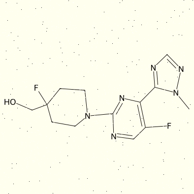 Cn1ncnc1-c1nc(N2CCC(F)(CO)CC2)ncc1F